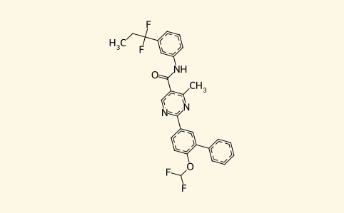 CCC(F)(F)c1cccc(NC(=O)c2cnc(-c3ccc(OC(F)F)c(-c4ccccc4)c3)nc2C)c1